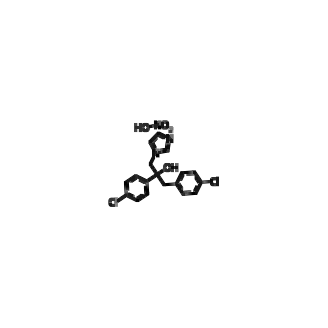 O=[N+]([O-])O.OC(Cc1ccc(Cl)cc1)(Cn1ccnc1)c1ccc(Cl)cc1